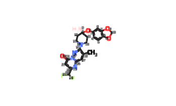 BC1(Oc2ccc3c(c2)OCO3)CCN(c2nn3c(=O)cc(C(F)F)nc3cc2C)CC1